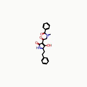 CN(CC(=O)C1=C(O)C(CCc2ccccc2)NC1=O)C(=O)c1ccccc1